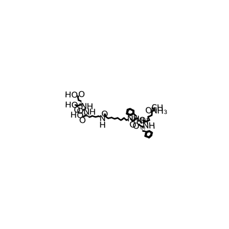 CNC(=O)CCCC(=O)N[C@H](Cc1ccccc1)C(=O)N[C@H](Cc1ccccc1)C(=O)NCCCCCCCC(=O)NCCCC[C@H](NC(=O)N[C@@H](CCC(=O)O)C(=O)O)C(=O)O